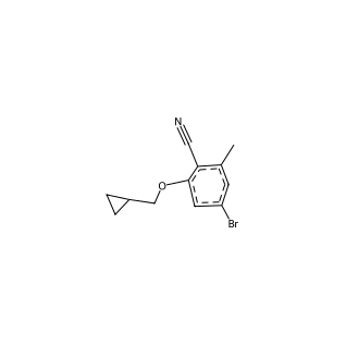 Cc1cc(Br)cc(OCC2CC2)c1C#N